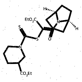 CCOC(=O)/C(=C\N1[C@@H]2CC[C@H]1CC(=O)C2)SC(=S)N1CCCC(C(=O)OCC)C1